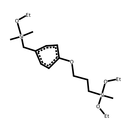 CCO[Si](C)(C)Cc1ccc(OCCC[Si](C)(OCC)OCC)cc1